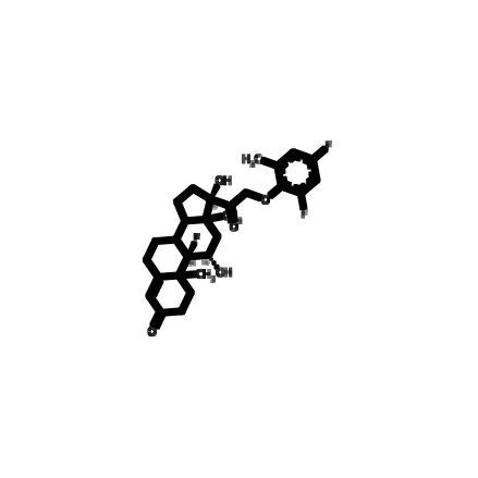 Cc1cc(F)cc(F)c1OCC(=O)[C@@]1(O)CCC2C3CCC4=CC(=O)CCC4(C)[C@@]3(F)[C@@H](O)CC21C